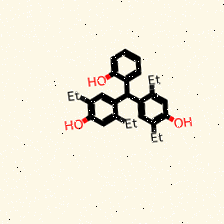 CCc1cc(C(c2ccccc2O)c2cc(CC)c(O)cc2CC)c(CC)cc1O